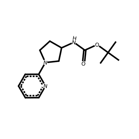 CC(C)(C)OC(=O)NC1CCN(c2ccccn2)C1